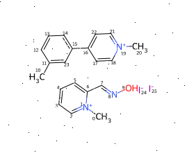 C[n+]1ccccc1C=NO.Cc1cccc(-c2cc[n+](C)cc2)c1.[I-].[I-]